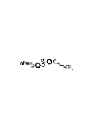 C=CCCCCOc1ccc(C(=O)Oc2ccc(OCCCCC)cc2)cc1